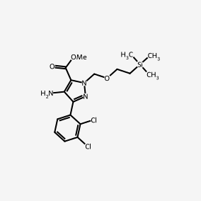 COC(=O)c1c(N)c(-c2cccc(Cl)c2Cl)nn1COCC[Si](C)(C)C